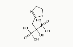 O=P(O)(O)C(O)(CC1=NCCO1)P(=O)(O)O